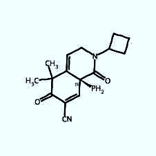 CC1(C)C(=O)C(C#N)=C[C@@]2(P)C(=O)N(C3CCC3)CC=C12